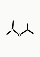 CC(C)[O][In]([CH3])[CH3]